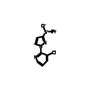 CC(C)[S+]([O-])c1c[c]n(-c2ncccc2Cl)n1